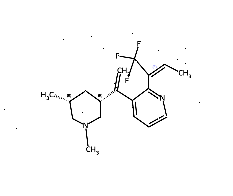 C=C(c1cccnc1/C(=C\C)C(F)(F)F)[C@H]1C[C@@H](C)CN(C)C1